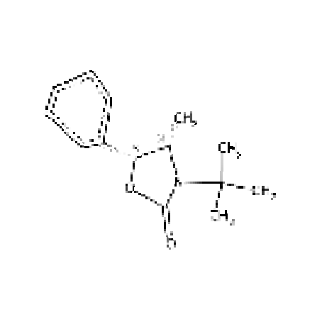 C[C@H]1[C@@H](c2ccccc2)OC(=O)N1C(C)(C)C